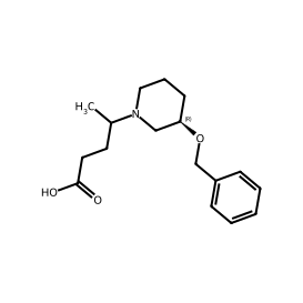 CC(CCC(=O)O)N1CCC[C@@H](OCc2ccccc2)C1